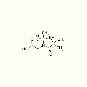 CC1(C)NC(C)(C)N(CC(=O)O)C1=O